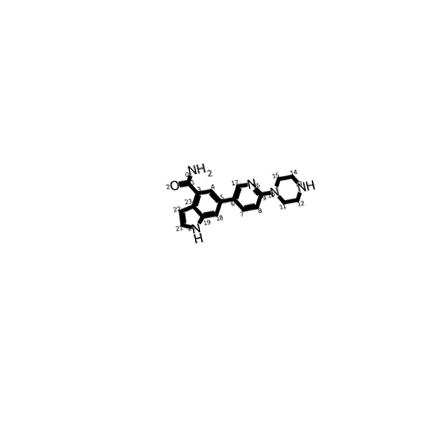 NC(=O)c1cc(-c2ccc(N3CCNCC3)nc2)cc2[nH]ccc12